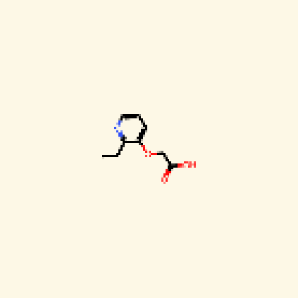 CCc1ncccc1OCC(=O)O